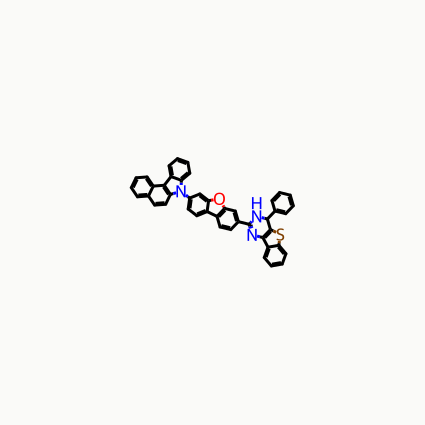 c1ccc(C2NC(c3ccc4c(c3)oc3cc(-n5c6ccccc6c6c7ccccc7ccc65)ccc34)=Nc3c2sc2ccccc32)cc1